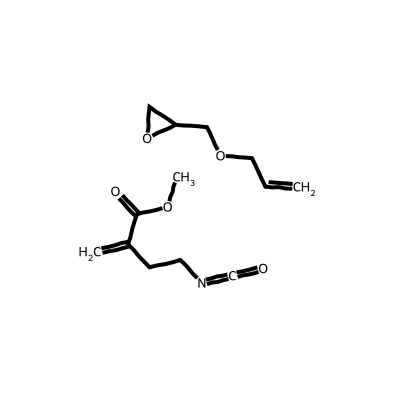 C=C(CCN=C=O)C(=O)OC.C=CCOCC1CO1